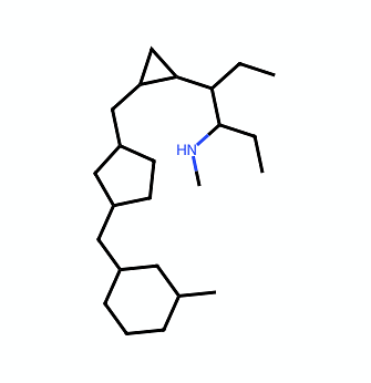 CCC(NC)C(CC)C1CC1CC1CCC(CC2CCCC(C)C2)C1